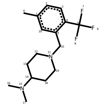 Cc1ccc(C(F)(F)F)c(CN2CCC(N(C)C)CC2)c1